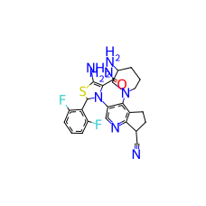 N#CC1CCc2c1ncc(N1C(C(N)=O)=C(N)SC1c1c(F)cccc1F)c2N1CCCC(N)C1